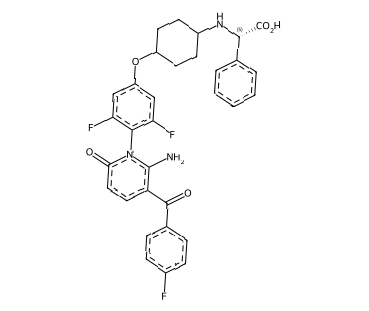 Nc1c(C(=O)c2ccc(F)cc2)ccc(=O)n1-c1c(F)cc(OC2CCC(N[C@H](C(=O)O)c3ccccc3)CC2)cc1F